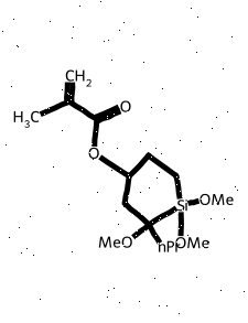 C=C(C)C(=O)OC1CC[Si](OC)(OC)C(CCC)(OC)C1